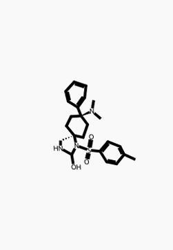 Cc1ccc(S(=O)(=O)N2C(O)NC[C@]23CC[C@](c2ccccc2)(N(C)C)CC3)cc1